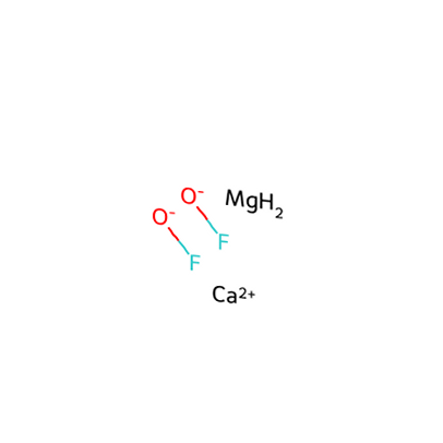 [Ca+2].[MgH2].[O-]F.[O-]F